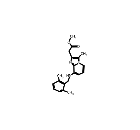 COC(=O)Cc1nc2c(NCc3c(C)cccc3C)cccn2c1C